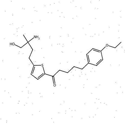 CCOc1ccc(CCCCC(=O)c2ccc(CCC(C)(N)CO)s2)cc1